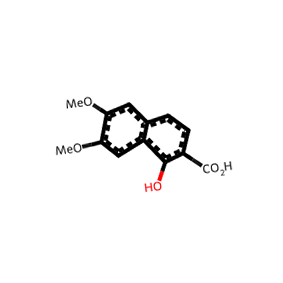 COc1cc2ccc(C(=O)O)c(O)c2cc1OC